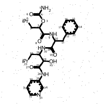 CC(C)CC(OC(N)=O)C(=O)NC(Cc1ccccc1)C(=O)NC(CC(C)C)C(O)C(=O)Nc1cccnc1